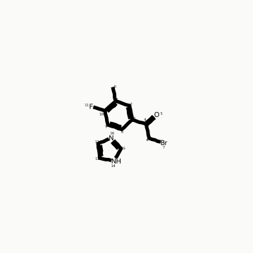 Cc1cc(C(=O)CBr)ccc1F.c1c[nH]cn1